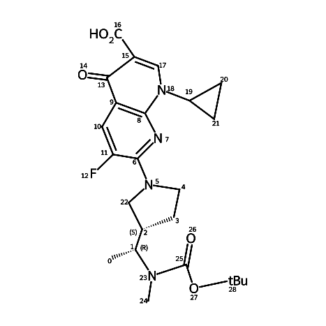 C[C@H]([C@H]1CCN(c2nc3c(cc2F)c(=O)c(C(=O)O)cn3C2CC2)C1)N(C)C(=O)OC(C)(C)C